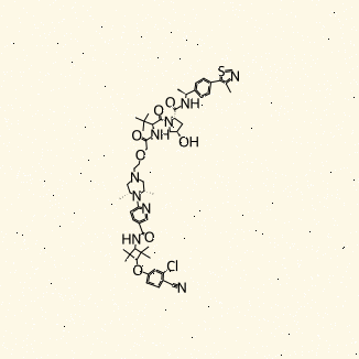 Cc1ncsc1-c1ccc([C@H](C)NC(=O)[C@@H]2C[C@@H](O)CN2C(=O)[C@@H](NC(=O)COCCN2C[C@@H](C)N(c3ccc(C(=O)NC4C(C)(C)C(Oc5ccc(C#N)c(Cl)c5)C4(C)C)cn3)[C@@H](C)C2)C(C)(C)C)cc1